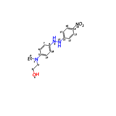 CCN(CCO)c1ccc(NNc2ccc([N+](=O)[O-])cc2)cc1